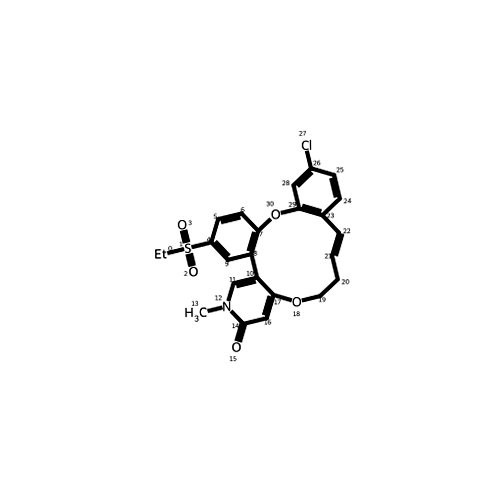 CCS(=O)(=O)c1ccc2c(c1)-c1cn(C)c(=O)cc1OCC/C=C/c1ccc(Cl)cc1O2